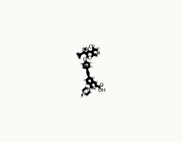 CN1CCN(c2nc(C(=O)O)cc3cc(C#CC45CCC(OCc6c(-c7c(Cl)cncc7Cl)noc6C6CC6)(CC4)CC5)ccc23)CC1